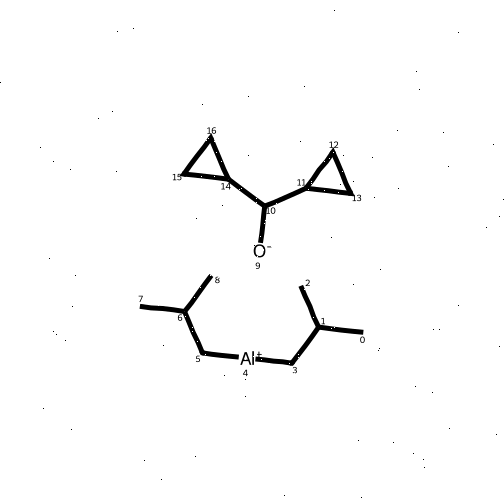 CC(C)[CH2][Al+][CH2]C(C)C.[O-]C(C1CC1)C1CC1